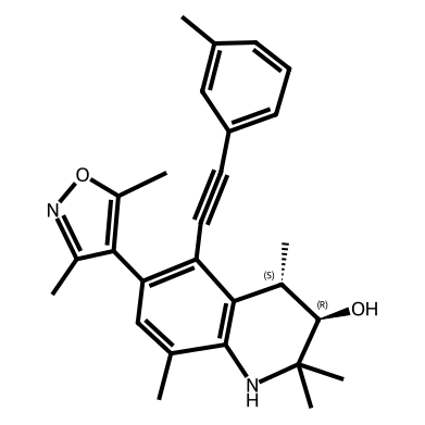 Cc1cccc(C#Cc2c(-c3c(C)noc3C)cc(C)c3c2[C@H](C)[C@@H](O)C(C)(C)N3)c1